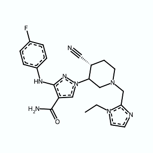 CCn1ccnc1CN1CC[C@@H](C#N)C(n2cc(C(N)=O)c(Nc3ccc(F)cc3)n2)C1